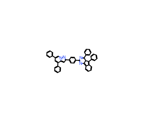 c1ccc(C2=NC(c3ccc(-c4cc5c(-c6ccccc6)cc(-c6ccccc6)cn5n4)cc3)=NC3=c4ccccc4=C(c4ccccc4)C23)cc1